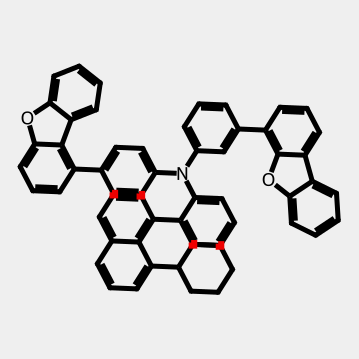 c1cc(-c2cccc3c2oc2ccccc23)cc(N(c2ccc(-c3cccc4oc5ccccc5c34)cc2)c2ccccc2-c2cccc3cccc(C4CCCCC4)c23)c1